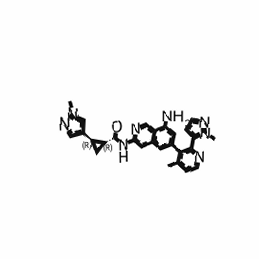 Cc1ccnc(-c2ccnn2C)c1-c1cc(N)c2cnc(NC(=O)[C@@H]3C[C@H]3c3cnn(C)c3)cc2c1